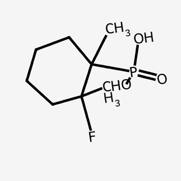 CC1(F)CCCCC1(C)P(=O)(O)O